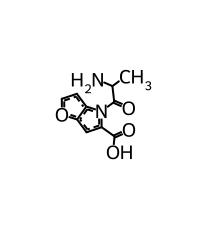 CC(N)C(=O)n1c(C(=O)O)cc2occc21